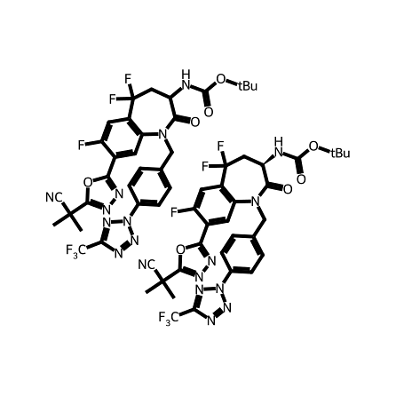 CC(C)(C)OC(=O)NC1CC(F)(F)c2cc(F)c(-c3nnc(C(C)(C)C#N)o3)cc2N(Cc2ccc(-n3nnc(C(F)(F)F)n3)cc2)C1=O.CC(C)(C)OC(=O)N[C@@H]1CC(F)(F)c2cc(F)c(-c3nnc(C(C)(C)C#N)o3)cc2N(Cc2ccc(-n3nnc(C(F)(F)F)n3)cc2)C1=O